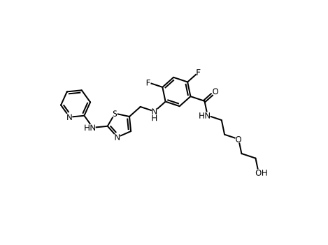 O=C(NCCOCCO)c1cc(NCc2cnc(Nc3ccccn3)s2)c(F)cc1F